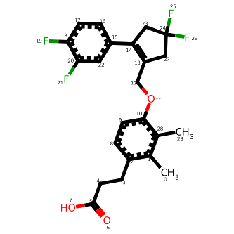 Cc1c(CCC(=O)O)ccc(OCC2=C(c3ccc(F)c(F)c3)CC(F)(F)C2)c1C